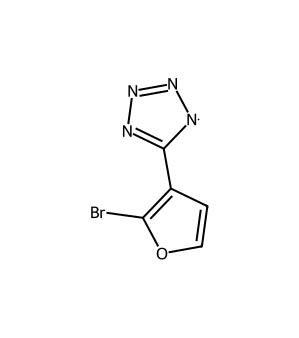 Brc1occc1C1=NN=N[N]1